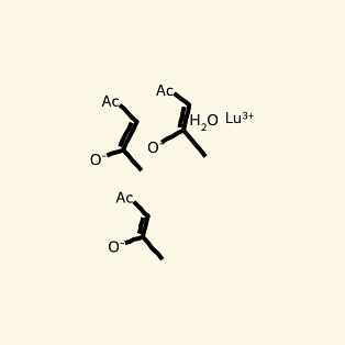 CC(=O)/C=C(/C)[O-].CC(=O)/C=C(/C)[O-].CC(=O)/C=C(/C)[O-].O.[Lu+3]